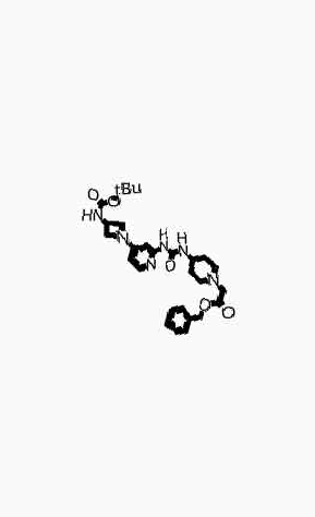 CC(C)(C)OC(=O)NC1CN(c2ccnc(NC(=O)NC3CCN(CC(=O)OCc4ccccc4)CC3)c2)C1